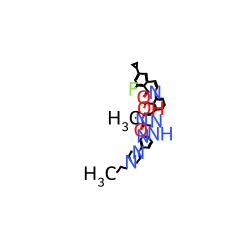 CCCCN1CCN(c2ccc(Nc3nc(-c4cccc(-n5ccc6cc(C7CC7)cc(F)c6c5=O)c4CO)cn(C)c3=O)nc2)CC1